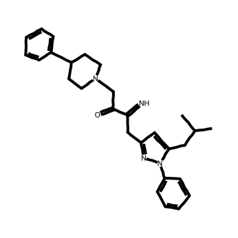 CC(C)Cc1cc(CC(=N)C(=O)CN2CCC(c3ccccc3)CC2)nn1-c1ccccc1